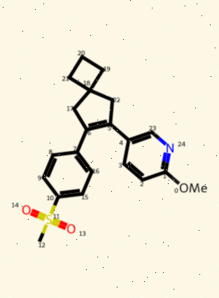 COc1ccc(C2=C(c3ccc(S(C)(=O)=O)cc3)CC3(CCC3)C2)cn1